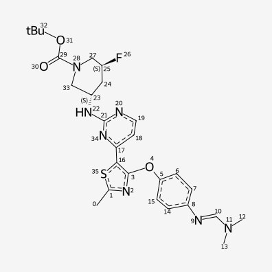 Cc1nc(Oc2ccc(N=CN(C)C)cc2)c(-c2ccnc(N[C@H]3C[C@H](F)CN(C(=O)OC(C)(C)C)C3)n2)s1